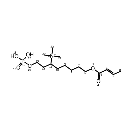 CC=CC(=O)OCCCCCC(CCOP(=O)(O)O)[N+](C)(C)C